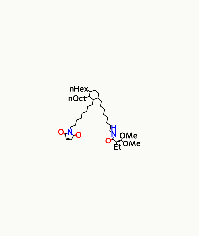 CCCCCCCCC1C(CCCCCC)CCC(CCCCCCCCNC(=O)C(CC)=C(OC)OC)C1CCCCCCCCN1C(=O)C=CC1=O